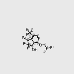 O[C@H]1c2c(OCC(F)F)ccc(C(F)(F)F)c2[C@H](F)C1(F)F